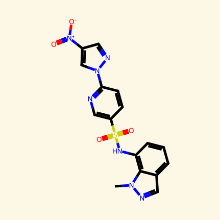 Cn1ncc2cccc(NS(=O)(=O)c3ccc(-n4cc([N+](=O)[O-])cn4)nc3)c21